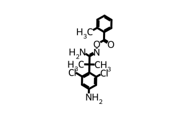 Cc1ccccc1C(=O)ON=C(N)C(C)(C)c1c(Cl)cc(N)cc1Cl